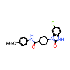 COc1ccc(NC(=O)C2CCC(n3c(=O)[nH]c4ccc(F)cc43)CC2)cc1